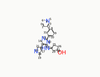 C=C/C(=C\N(C)C)c1cccc(-c2ncc(C3=CC(C)N=C3)c(NC3CCC(O)C3)n2)c1